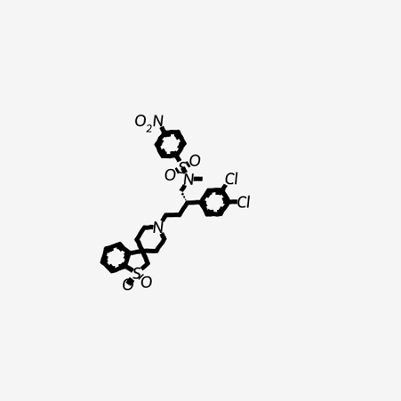 CN(C[C@@H](CCN1CCC2(CC1)CS(=O)(=O)c1ccccc12)c1ccc(Cl)c(Cl)c1)S(=O)(=O)c1ccc([N+](=O)[O-])cc1